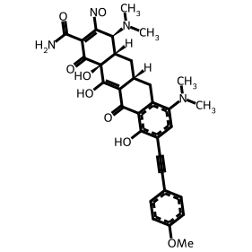 COc1ccc(C#Cc2cc(N(C)C)c3c(c2O)C(=O)C2=C(O)[C@]4(O)C(=O)C(C(N)=O)=C(N=O)[C@@H](N(C)C)[C@@H]4C[C@@H]2C3)cc1